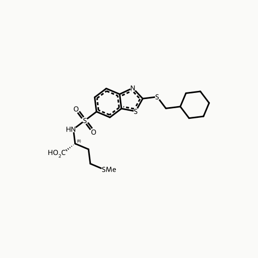 CSCC[C@@H](NS(=O)(=O)c1ccc2nc(SCC3CCCCC3)sc2c1)C(=O)O